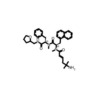 CN(C(=O)C=CCC(C)(C)N)[C@H](Cc1cccc2ccccc12)C(=O)N(C)[C@H](Cc1ccccc1)C(=O)NCC1CCCO1